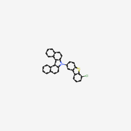 Clc1cccc2c1sc1ccc(-n3c4ccc5ccccc5c4c4c5ccccc5ccc43)cc12